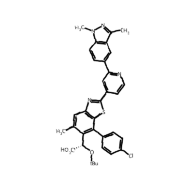 Cc1cc2nc(-c3ccnc(-c4ccc5c(c4)c(C)nn5C)c3)sc2c(-c2ccc(Cl)cc2)c1[C@H](OC(C)(C)C)C(=O)O